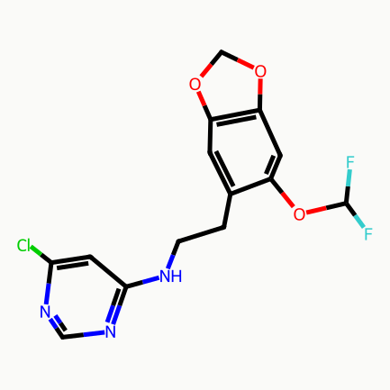 FC(F)Oc1cc2c(cc1CCNc1cc(Cl)ncn1)OCO2